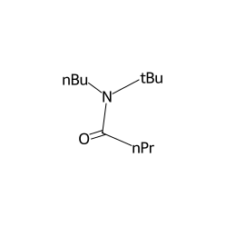 [CH2]CCC(=O)N(CCCC)C(C)(C)C